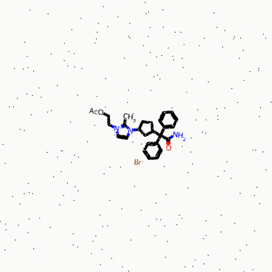 CC(=O)OCC[n+]1ccn(C2CCC(C(C(N)=O)(c3ccccc3)c3ccccc3)C2)c1C.[Br-]